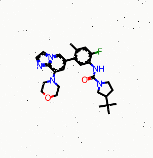 Cc1cc(F)c(NC(=O)N2CCC(C(C)(C)C)C2)cc1-c1cc(N2CCOCC2)c2nccn2c1